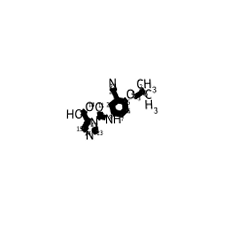 CC(C)COc1ccc(NC(=O)n2cncc2C(=O)O)cc1C#N